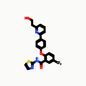 O=C(Nc1nccs1)c1cc(C(F)(F)F)ccc1Oc1ccc(-c2cccc(CCO)n2)cc1